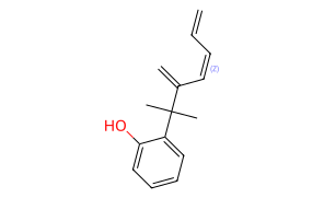 C=C/C=C\C(=C)C(C)(C)c1ccccc1O